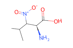 CC(C)C([C@H](N)C(=O)O)[N+](=O)[O-]